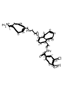 NCc1ccc(CNCCOc2ccc(/C=N/NC(=O)c3ccc(O)c(Cl)c3)c3ccccc23)cc1